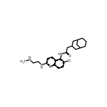 CNCCNc1ccc2c(NC(=O)CC3CC4CCCC(C4)C3)c(Cl)ccc2n1